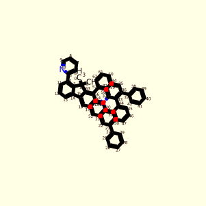 CC1(C)c2c(-c3ccccn3)cccc2-c2ccc(N(c3ccc(-c4ccccc4)cc3)c3cccc(-c4ccccc4)c3-c3ccccc3-c3ccccc3)c(-c3ccccc3)c21